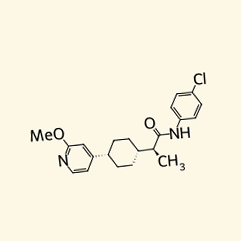 COc1cc([C@H]2CC[C@@H]([C@H](C)C(=O)Nc3ccc(Cl)cc3)CC2)ccn1